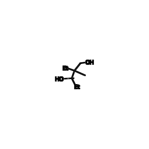 CC[C](O)C(C)(CC)CO